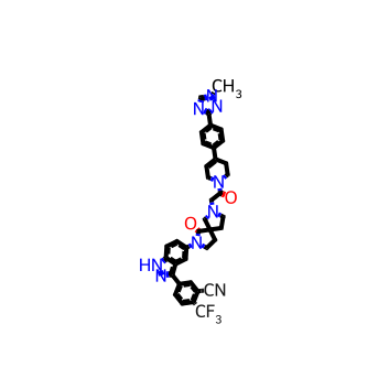 Cn1cnc(-c2ccc(C3=CCN(C(=O)CN4CCC5(CCN(c6ccc7[nH]nc(-c8ccc(C(F)(F)F)c(C#N)c8)c7c6)C5=O)C4)CC3)cc2)n1